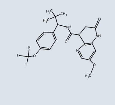 COc1cnc2c(c1)NC(=O)CN2C(=O)NC(c1ccc(OC(F)(F)F)cc1)C(C)(C)C